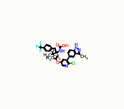 Cc1n[nH]c2ccc(-c3cc(OC(C)C[C@](Cc4ccc(C(F)(F)F)cc4)(NC(=O)O)C(C)(C)C)cnc3Cl)cc12